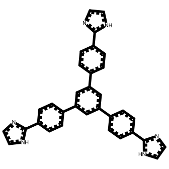 c1c[nH]c(-c2ccc(-c3cc(-c4ccc(-c5ncc[nH]5)cc4)cc(-c4ccc(-c5ncc[nH]5)cc4)c3)cc2)n1